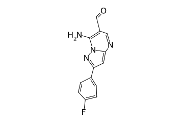 Nc1c(C=O)cnc2cc(-c3ccc(F)cc3)nn12